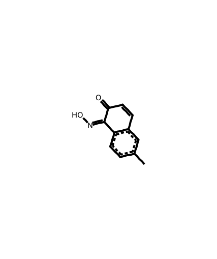 Cc1ccc2c(c1)C=CC(=O)/C2=N\O